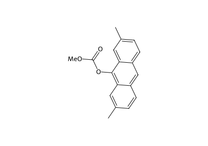 COC(=O)Oc1c2cc(C)ccc2cc2ccc(C)cc12